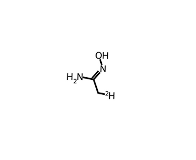 [2H]CC(N)=NO